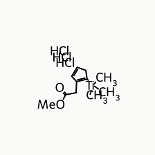 COC(=O)CC1=[C]([Ti]([CH3])([CH3])[CH3])CC=C1.Cl.Cl.Cl